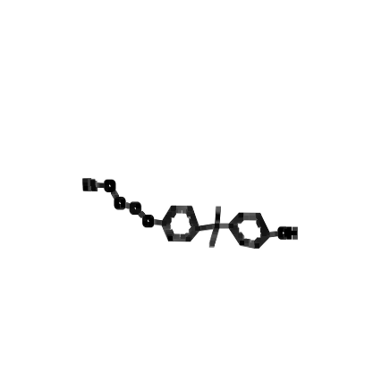 CCOOOOc1ccc(C(C)(C)c2ccc(O)cc2)cc1